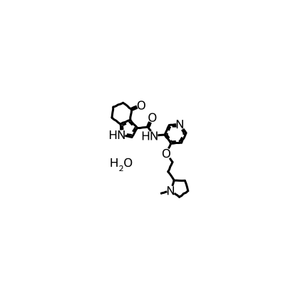 CN1CCCC1CCOc1ccncc1NC(=O)c1c[nH]c2c1C(=O)CCC2.O